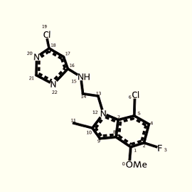 COc1c(F)cc(Cl)c2c1cc(C)n2CCNc1cc(Cl)ncn1